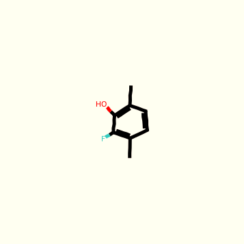 Cc1ccc(C)c(F)c1O